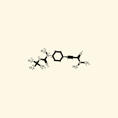 CN(C)C(=O)C#C[C@H]1CC[C@H](N(C)C(=O)OC(C)(C)C)CC1